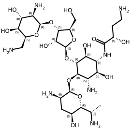 C[C@H](N)[C@H]1O[C@H](O[C@@H]2[C@@H](N)[C@H](O)[C@@H](NC(=O)[C@@H](O)CCN)[C@H](O)[C@H]2O[C@@H]2O[C@H](CO)[C@@H](O[C@H]3O[C@@H](CN)[C@@H](O)[C@H](O)[C@H]3N)[C@H]2O)[C@H](N)C[C@@H]1O